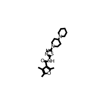 Cc1oc(C)c(C(=O)Nc2nnc(N3CCC(N4CCCCC4)CC3)s2)c1C